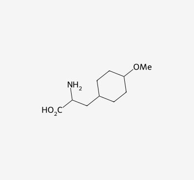 COC1CCC(CC(N)C(=O)O)CC1